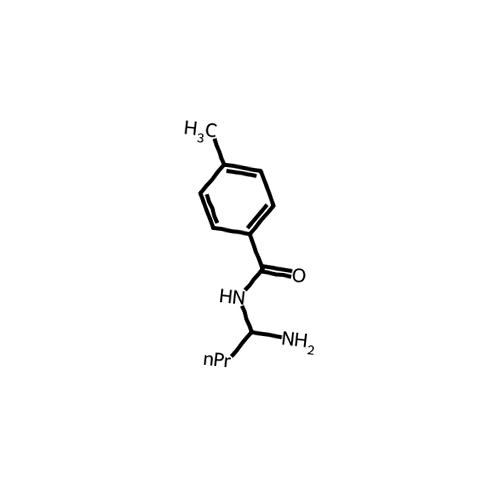 CCCC(N)NC(=O)c1ccc(C)cc1